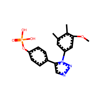 COc1cc(-n2nncc2-c2ccc(OP(=O)(O)O)cc2)cc(C)c1C